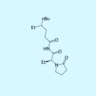 CCCCC(CC)CCC(=O)NC(=O)[C@H](CC)N1CCCC1=O